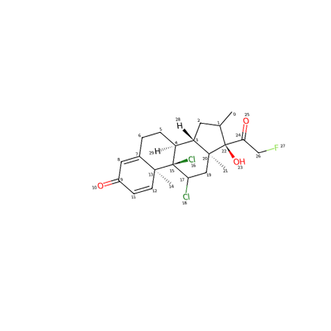 CC1C[C@H]2[C@@H]3CCC4=CC(=O)C=C[C@]4(C)[C@@]3(Cl)C(Cl)C[C@]2(C)[C@@]1(O)C(=O)CF